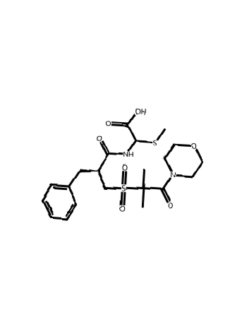 CSC(NC(=O)[C@H](Cc1ccccc1)CS(=O)(=O)C(C)(C)C(=O)N1CCOCC1)C(=O)O